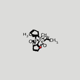 CC[S](=O)(=O)[Zr]([CH3])([CH3])([C]1=CC=CC1)([C]1=CC=CC1)[S](=O)(=O)CC